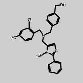 CCCCn1c(CN(Cc2ccc(CO)cc2)Cc2ccc(O)cc2Cl)cnc1-c1ccccc1